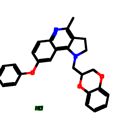 Cc1nc2ccc(Oc3ccccc3)cc2c2c1CCN2CC1COc2ccccc2O1.Cl